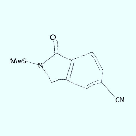 CSN1Cc2cc(C#N)ccc2C1=O